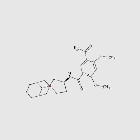 COc1cc(OC)c(C(=O)N[C@H]2CCN(C3C4CCCC3CCC4)C2)cc1C(C)=O